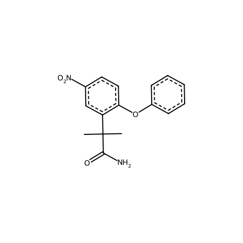 CC(C)(C(N)=O)c1cc([N+](=O)[O-])ccc1Oc1ccccc1